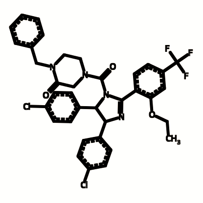 CCOc1cc(C(F)(F)F)ccc1C1=NC(c2ccc(Cl)cc2)C(c2ccc(Cl)cc2)N1C(=O)N1CCN(Cc2ccccc2)C(=O)C1